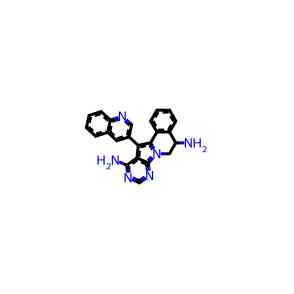 Nc1ncnc2c1c(-c1cnc3ccccc3c1)c1n2CC(N)c2ccccc2-1